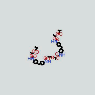 C=C(C)C(=O)OCC(C)OC(=O)Nc1ccc(Cc2ccc(NC(=O)OC(C)COCC(C)OC(=O)Nc3ccc(Cc4ccc(NC(=O)OC(C)COC(=O)C(=C)C)cc4)cc3)cc2)cc1